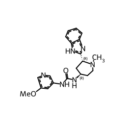 COc1cncc(NC(=O)N[C@@H]2CCN(C)[C@@H](c3nc4ccccc4[nH]3)C2)c1